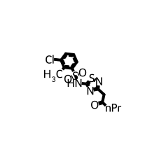 CCCC(=O)Cc1nsc(NS(=O)(=O)c2cccc(Cl)c2C)n1